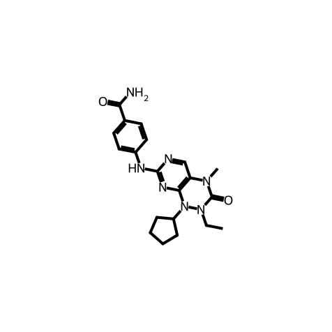 CCN1C(=O)N(C)c2cnc(Nc3ccc(C(N)=O)cc3)nc2N1C1CCCC1